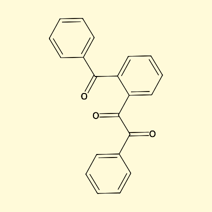 O=C(C(=O)c1ccccc1C(=O)c1ccccc1)c1ccccc1